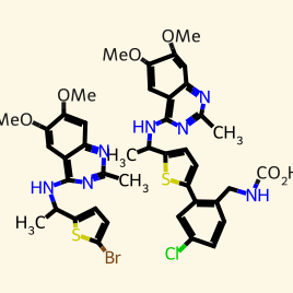 COc1cc2nc(C)nc(NC(C)c3ccc(-c4cc(Cl)ccc4CNC(=O)O)s3)c2cc1OC.COc1cc2nc(C)nc(NC(C)c3ccc(Br)s3)c2cc1OC